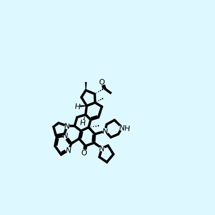 CC(=O)[C@H]1[C@H](C)C[C@H]2[C@@H]3CC(N4CCCC4)C4=C(c5ncccn5)C(=O)C(N5CCCC5)=C(N5CCNCC5)[C@]4(C)C3=CC[C@@]21C